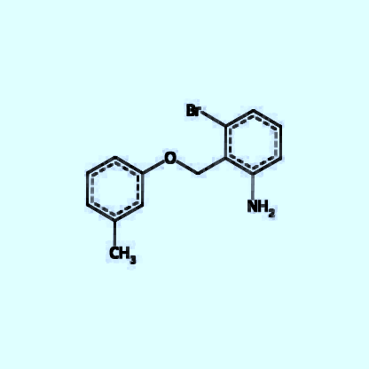 Cc1cccc(OCc2c(N)cccc2Br)c1